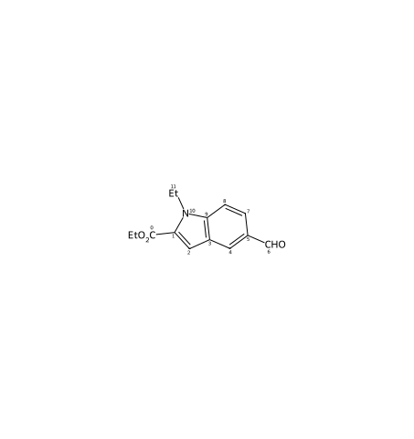 CCOC(=O)c1cc2cc(C=O)ccc2n1CC